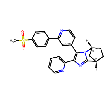 CS(=O)(=O)c1ccc(-c2cc(-c3c(-c4ccccn4)nc4n3[C@@H]3CC[C@H]4C3)ccn2)cc1